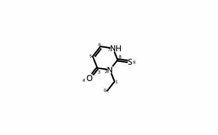 CCn1c(=O)cc[nH]c1=S